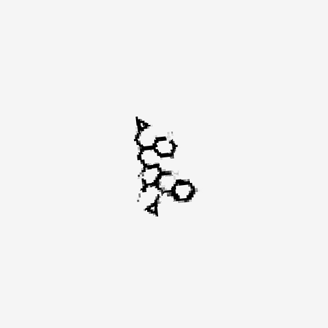 O=c1oc(CC(CC2CC2)C2CCCOC2)cc(O)c1N(c1ccccc1)C1CC1